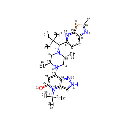 [2H]C([2H])([2H])C(c1ccc2nc(C)sc2n1)N1C[C@H](CC)N(c2cc(=O)n(C([2H])([2H])[2H])c3c[nH]nc23)C[C@H]1CC